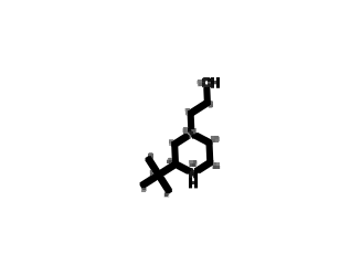 CC(C)(C)C1CN(CCO)CCN1